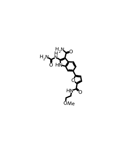 COCCNC(=O)c1ccc(-c2ccc3c(C(N)=O)c(NC(N)=O)[nH]c3c2)o1